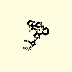 CC(C)(C)C1C(n2cc(NC(=O)C3(c4cn[nH]c4)NC=CS3)c(-c3ccccn3)n2)CN1C(=O)O